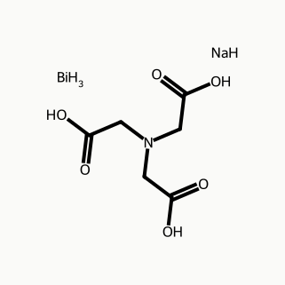 O=C(O)CN(CC(=O)O)CC(=O)O.[BiH3].[NaH]